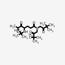 CC(C)C(=O)C(CCC(=O)N(CC(=O)C(C)(C)C)CC(=O)C(C)(C)C)NC(C)(C)C